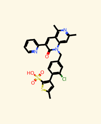 Cc1cc2c(cc(-c3ccccn3)c(=O)n2Cc2ccc(-c3cc(C)sc3S(=O)(=O)O)c(Cl)c2)c(C)n1